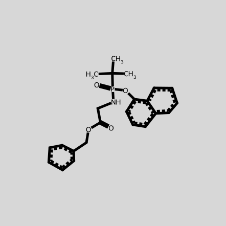 CC(C)(C)P(=O)(NCC(=O)OCc1ccccc1)Oc1cccc2ccccc12